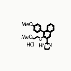 COCCOc1c(C2=NCCN2)cc2ccccc2c1-c1ccc(OC)cc1.Cl